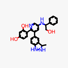 CC1NNc2ccc(-c3cc(NC(CO)c4ccccc4)cnc3-c3ccc(O)cc3O)cc21